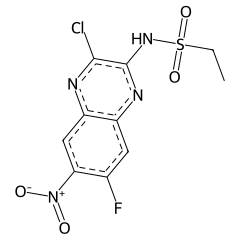 CCS(=O)(=O)Nc1nc2cc(F)c([N+](=O)[O-])cc2nc1Cl